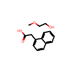 COCCO.O=C(O)Cc1cccc2ccccc12